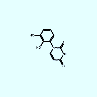 O=c1ccn(-c2cccc(O)c2O)c(=O)[nH]1